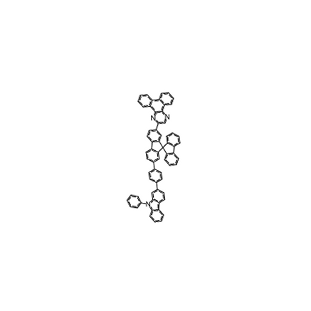 c1ccc(-n2c3ccccc3c3ccc(-c4ccc(-c5ccc6c(c5)C5(c7ccccc7-c7ccccc75)c5cc(-c7cnc8c9ccccc9c9ccccc9c8n7)ccc5-6)cc4)cc32)cc1